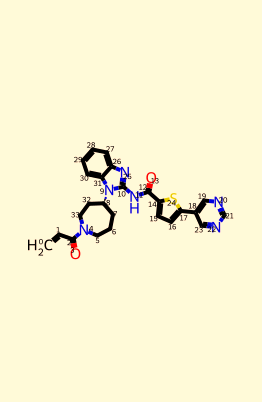 C=CC(=O)N1CCC[C@@H](n2c(NC(=O)c3ccc(-c4cncnc4)s3)nc3ccccc32)CC1